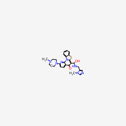 CN1CCCN(c2ccc3c(=O)c(C(O)NCc4cncn4C)c4sc5ccccc5n4c3n2)CC1